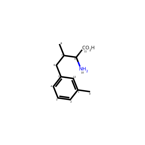 Cc1cccc(CC(C)C(N)C(=O)O)c1